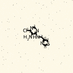 Nc1c(Cl)ncnc1NCc1cscn1